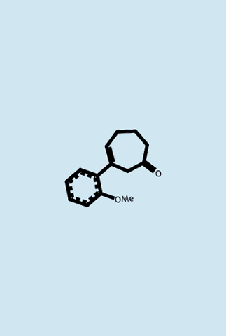 COc1ccccc1C1=CCCCC(=O)C1